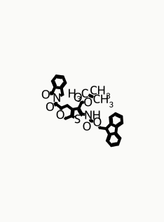 CC(C)(C)OC(=O)c1c(NC(=O)OCC2c3ccccc3-c3ccccc32)sc2c1CC(C(=O)N1Cc3ccccc3C1=O)OC2